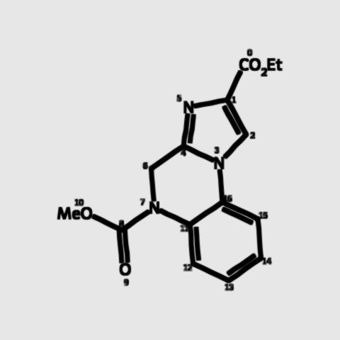 CCOC(=O)c1cn2c(n1)CN(C(=O)OC)c1ccccc1-2